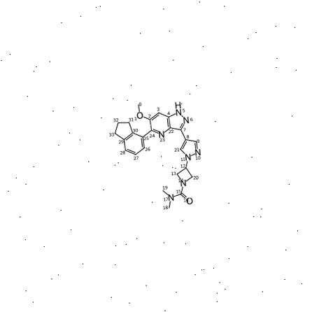 COc1cc2[nH]nc(-c3cnn(C4CN(C(=O)N(C)C)C4)c3)c2nc1-c1cccc2c1CCC2